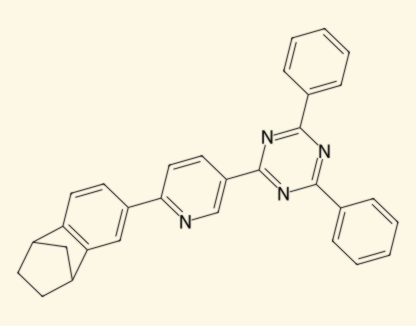 c1ccc(-c2nc(-c3ccccc3)nc(-c3ccc(-c4ccc5c(c4)C4CCC5C4)nc3)n2)cc1